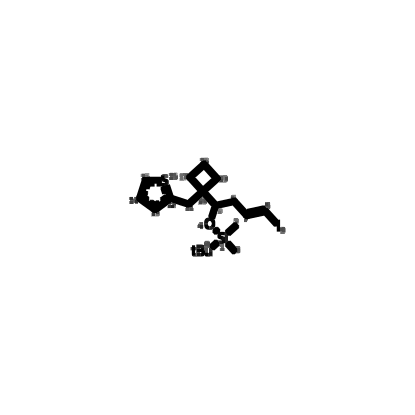 CC(C)(C)[Si](C)(C)OC(CC=CI)C1(Cc2cccs2)CCC1